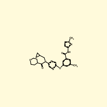 Cc1cc(Oc2cnc(N(CC3CC3)C(=O)C3CCOCC3)cn2)cc(C(=O)Nc2ccn(C)n2)c1